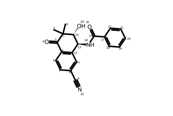 CC1(C)C(=O)c2ccc(C#N)cc2[C@H](NC(=O)c2ccccc2)[C@H]1O